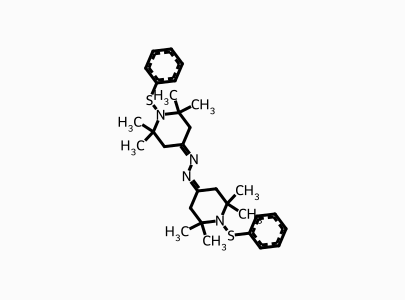 CC1(C)CC(=NN=C2CC(C)(C)N(Sc3ccccc3)C(C)(C)C2)CC(C)(C)N1Sc1ccccc1